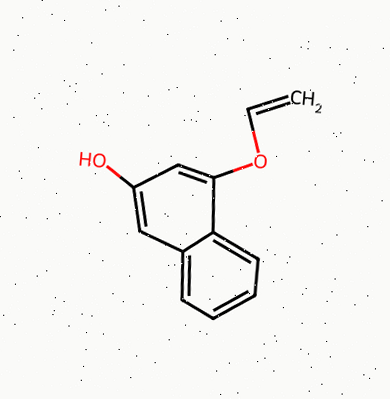 C=COc1cc(O)cc2ccccc12